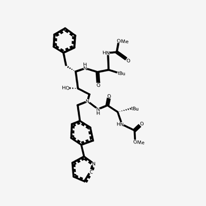 COC(=O)NC(C(=O)N[C@@H](Cc1ccccc1)[C@@H](O)CN(Cc1ccc(-c2ccccn2)cc1)NC(=O)[C@@H](NC(=O)OC)C(C)(C)C)C(C)(C)C